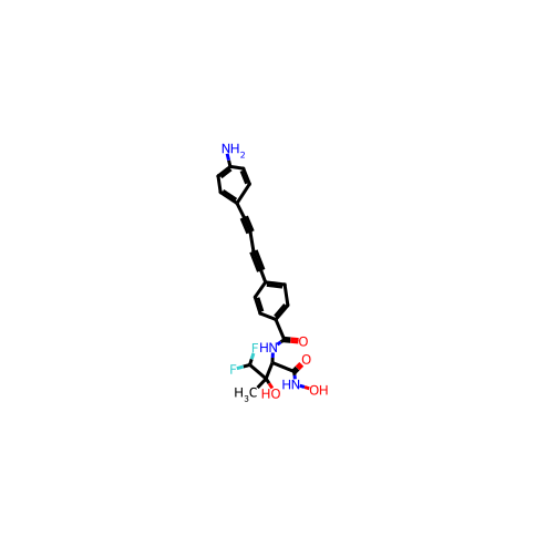 CC(O)(C(F)F)C(NC(=O)c1ccc(C#CC#Cc2ccc(N)cc2)cc1)C(=O)NO